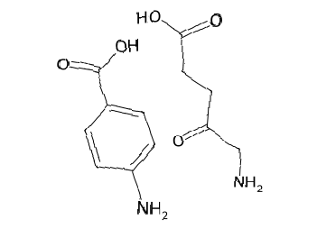 NCC(=O)CCC(=O)O.Nc1ccc(C(=O)O)cc1